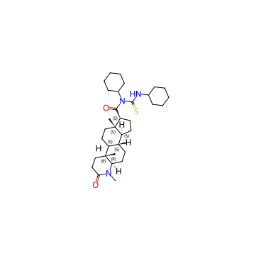 CN1C(=O)CC[C@]2(C)[C@H]3CC[C@]4(C)[C@@H](C(=O)N(C(=S)NC5CCCCC5)C5CCCCC5)CC[C@H]4[C@@H]3CC[C@@H]12